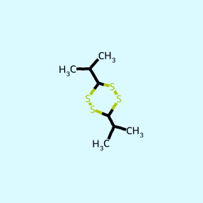 CC(C)C1SSC(C(C)C)SS1